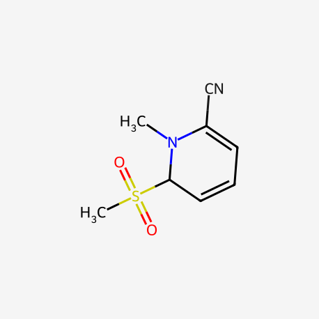 CN1C(C#N)=CC=CC1S(C)(=O)=O